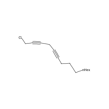 CCCCCCCCCC#CCC#CCCl